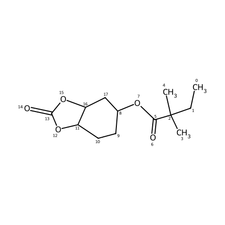 CCC(C)(C)C(=O)OC1CCC2OC(=O)OC2C1